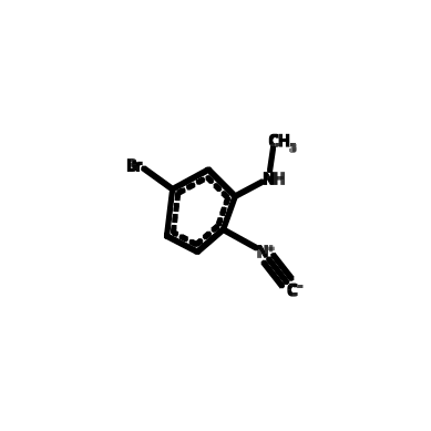 [C-]#[N+]c1ccc(Br)cc1NC